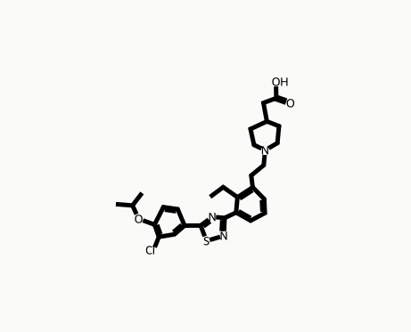 CCc1c(CCN2CCC(CC(=O)O)CC2)cccc1-c1nsc(-c2ccc(OC(C)C)c(Cl)c2)n1